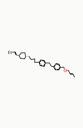 C/C=C/COCc1ccc(CCc2ccc(CCCC[C@H]3CC[C@H](/C=C/CC)CC3)cc2)cc1